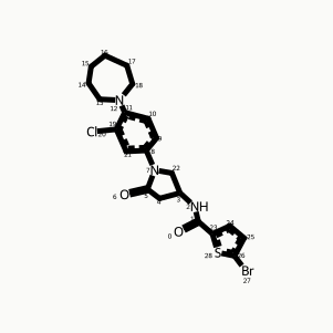 O=C(NC1CC(=O)N(c2ccc(N3CCCCCC3)c(Cl)c2)C1)c1ccc(Br)s1